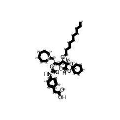 CCCCCCCCCCO[C@@H]1[C@H]2OC3(CCCCC3)O[C@H]2O[C@@H]1[C@@H](CN1CCCCCC1)OC(=O)Nc1ccc(CC(=O)O)cc1